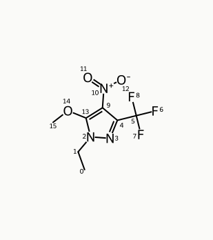 CCn1nc(C(F)(F)F)c([N+](=O)[O-])c1OC